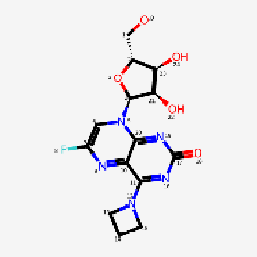 [O]C[C@H]1O[C@H](n2cc(F)nc3c(N4CCC4)nc(=O)nc2-3)[C@H](O)[C@@H]1O